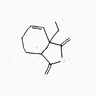 O=C(O)CC12C=CCCC1C(=O)NC2=O